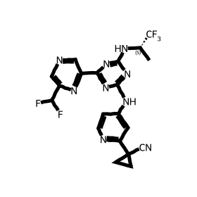 C[C@H](Nc1nc(Nc2ccnc(C3(C#N)CC3)c2)nc(-c2cncc(C(F)F)n2)n1)C(F)(F)F